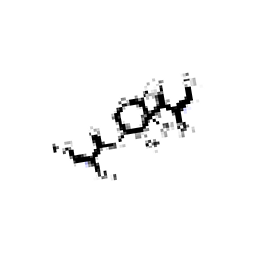 C/C=C(/C)C(=O)O[C@H]1[CH]O[C@H](C)[C@@](O)(C(=O)/C(C)=C\C)[C@@H]1O